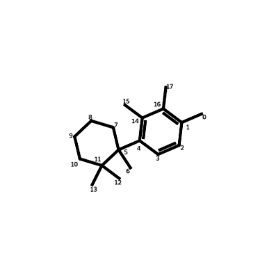 Cc1ccc(C2(C)CCCCC2(C)C)c(C)c1C